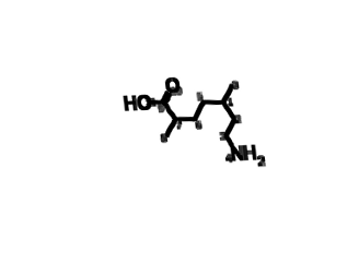 CC(CCN)CCC(C)C(=O)O